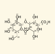 O=C(O)[C@H](O)[C@@H](O)C(O[C@@H]1O[C@H](CO)[C@H](O)[C@H](O)[C@H]1O)[C@H](O)CO